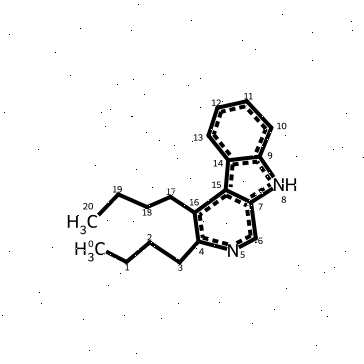 CCCCc1n[c]c2[nH]c3ccccc3c2c1CCCC